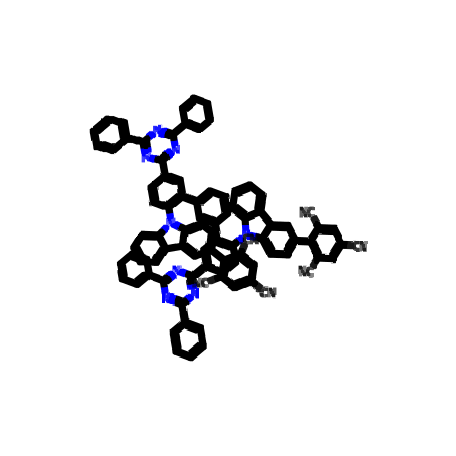 N#Cc1cc(C#N)c(-c2ccc3c(c2)c2ccccc2n3-c2ccc(-c3nc(-c4ccccc4)nc(-c4ccccc4)n3)cc2-c2cccc(-c3cc(-c4nc(-c5ccccc5)nc(-c5ccccc5)n4)ccc3-n3c4ccccc4c4cc(-c5c(C#N)cc(C#N)cc5C#N)ccc43)c2)c(C#N)c1